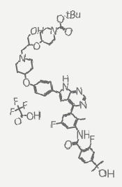 Cc1c(NC(=O)c2ccc(C(C)(C)O)cc2F)cc(F)cc1-c1ncnc2[nH]c(-c3ccc(OC4CCN(CC(CO)OC5CCN(C(=O)OC(C)(C)C)CC5)CC4)cc3)cc12.O=C(O)C(F)(F)F